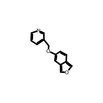 c1cncc(COc2ccc3cocc3c2)c1